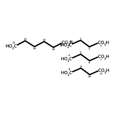 O=C(O)CCC(=O)O.O=C(O)CCC(=O)O.O=C(O)CCC(=O)O.O=C(O)CCCCC(=O)O